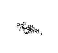 COCC(=O)N(CC(=O)NCC(F)(F)F)C(=O)c1ccc(C2=NOC(c3cc(Cl)cc(Cl)c3)(C(F)(F)F)C2)cc1C